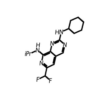 CC(C)Nc1nc(C(F)F)cc2cnc(NC3CCCCC3)nc12